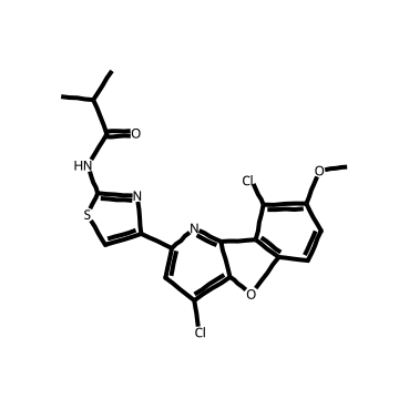 COc1ccc2oc3c(Cl)cc(-c4csc(NC(=O)C(C)C)n4)nc3c2c1Cl